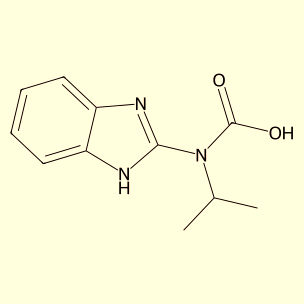 CC(C)N(C(=O)O)c1nc2ccccc2[nH]1